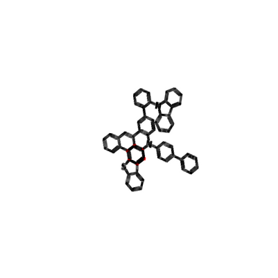 c1ccc(-c2ccc(N(c3ccc4sc5ccccc5c4c3)c3ccc(-c4ccccc4-n4c5ccccc5c5ccccc54)cc3-c3cc4ccccc4c4ccccc34)cc2)cc1